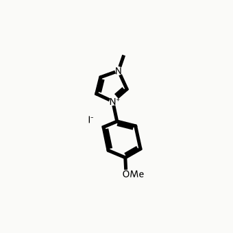 COc1ccc(-[n+]2ccn(C)c2)cc1.[I-]